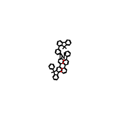 CC1(C)c2ccccc2-c2cccc(-c3cccc(N(c4ccc(-c5ccc6c(c5)C(C)(c5ccccc5)c5ccccc5-6)cc4)c4ccccc4-c4ccc(-c5ccccc5)cc4)c3)c21